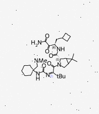 CNCC1(NC(=O)/N=C(\C(=O)N2CC3C([C@H]2C(=O)N[C@H](CC2CCC2)C(=O)C(N)=O)C3(C)C)C(C)(C)C)CCCCC1